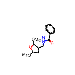 COC1CC(CNC(=O)c2ccccc2)C(OC)O1